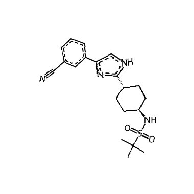 CC(C)(C)S(=O)(=O)N[C@H]1CC[C@H](c2nc(-c3cccc(C#N)c3)c[nH]2)CC1